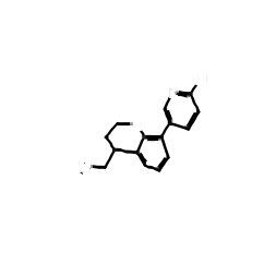 O=C(O)NCC1CCOc2c(-c3ccc(C(F)(F)F)nc3)cccc21